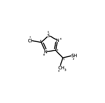 CC(S)c1nsc(Cl)n1